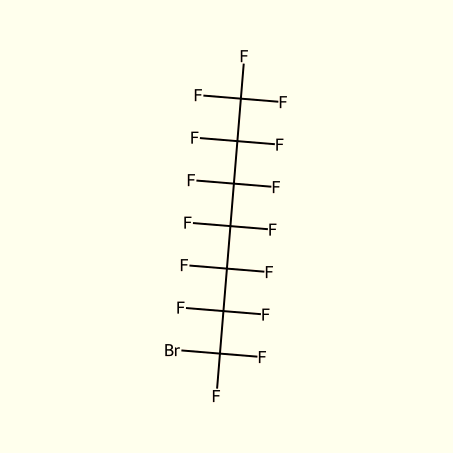 FC(F)(F)C(F)(F)C(F)(F)C(F)(F)C(F)(F)C(F)(F)C(F)(F)Br